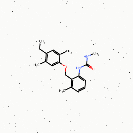 CCc1cc(C)c(OCc2c(C)cccc2NC(=O)NC)cc1C